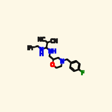 CC(C)CNC(NCC1CN(Cc2ccc(F)cc2)CCO1)C(C#N)C#N